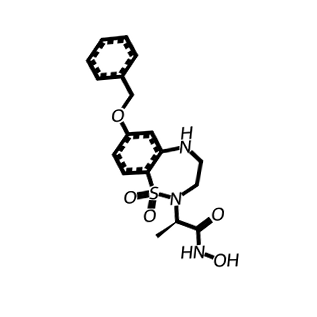 C[C@H](C(=O)NO)N1CCNc2cc(OCc3ccccc3)ccc2S1(=O)=O